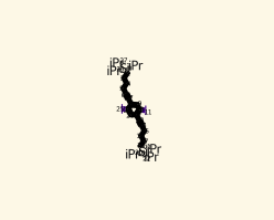 CC(C)[Si](CCCCC#Cc1cc(I)c(C#CCCCC[Si](C(C)C)(C(C)C)C(C)C)cc1I)(C(C)C)C(C)C